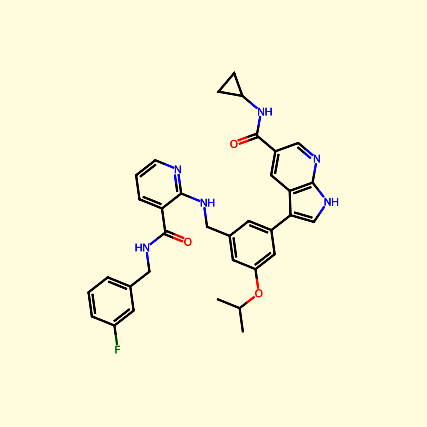 CC(C)Oc1cc(CNc2ncccc2C(=O)NCc2cccc(F)c2)cc(-c2c[nH]c3ncc(C(=O)NC4CC4)cc23)c1